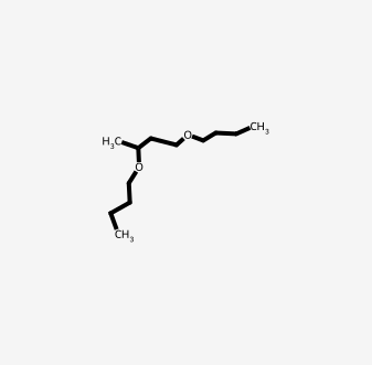 CCCCOCCC(C)OCCCC